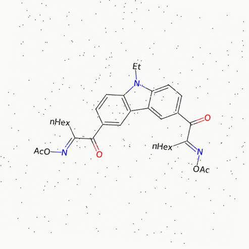 CCCCCC/C(=N\OC(C)=O)C(=O)c1ccc2c(c1)c1cc(C(=O)/C(CCCCCC)=N/OC(C)=O)ccc1n2CC